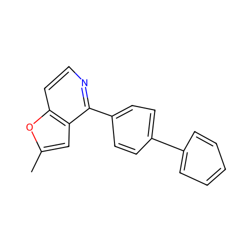 Cc1cc2c(-c3ccc(-c4ccccc4)cc3)nccc2o1